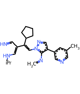 C=Nc1c(-c2cncc(C)c2)cnn1/C=C(/C(C=N)=C/NC(C)C)C1CCCC1